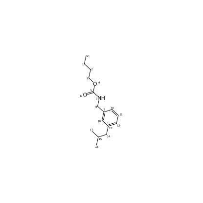 CCCCOC(=O)NCc1cccc(CC(C)C)c1